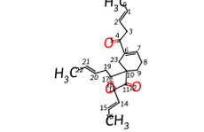 CC=CCC(=O)C1=CCCC(C(=O)CC=CC)(C(=O)CC=CC)C1